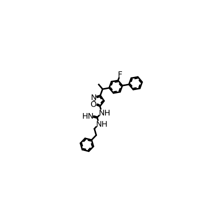 CC(c1ccc(-c2ccccc2)c(F)c1)c1cc(NC(=N)NCCc2ccccc2)on1